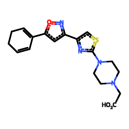 O=C(O)CN1CCN(c2nc(-c3cc(C4=CCCC=C4)on3)cs2)CC1